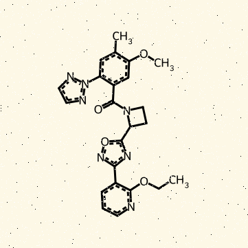 CCOc1ncccc1-c1noc(C2CCN2C(=O)c2cc(OC)c(C)cc2-n2nccn2)n1